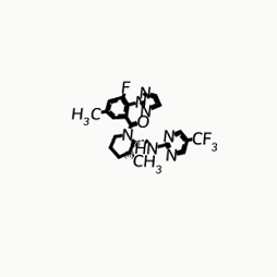 Cc1cc(F)c(-n2nccn2)c(C(=O)N2CCC[C@@H](C)[C@H]2CNc2ncc(C(F)(F)F)cn2)c1